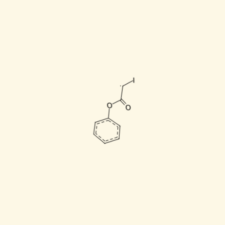 O=C([CH]I)Oc1ccccc1